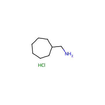 Cl.NCC1CCCCCC1